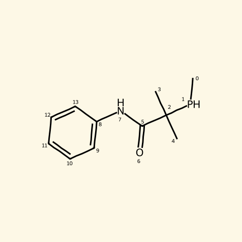 CPC(C)(C)C(=O)Nc1ccccc1